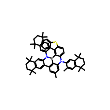 Cc1cc2c3c(c1)N(c1cc4c(cc1C)C(C)(C)CCC4(C)C)c1ccc4sc5ccccc5c4c1B3N(c1ccc3c(c1)C(C)(C)CCC3(C)C)c1cc3c(cc1-2)C(C)(C)CCC3(C)C